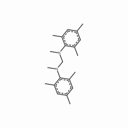 Cc1cc(C)c(N(C)CN(C)c2c(C)cc(C)cc2C)c(C)c1